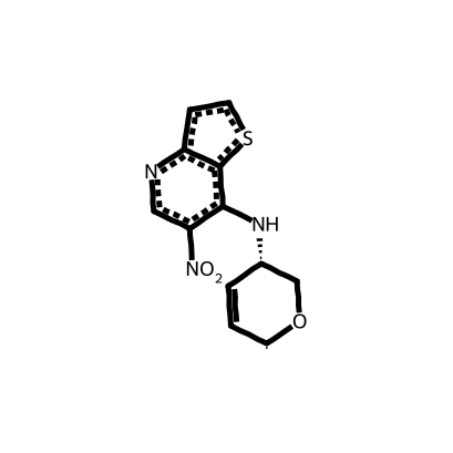 O=[N+]([O-])c1cnc2ccsc2c1N[C@H]1C=C[CH]OC1